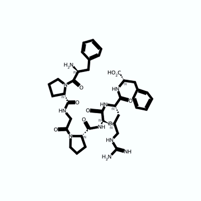 CC[C@H](C)[C@H](NC(=O)[C@@H]1CCCN1C(=O)CNC(=O)[C@@H]1CCCN1C(=O)[C@@H](N)Cc1ccccc1)C(=O)N[C@@H](CCCNC(=N)N)C(=O)N[C@@H](Cc1ccccc1)C(=O)O